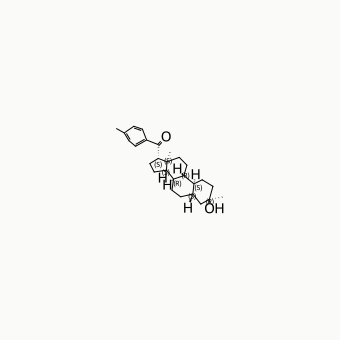 Cc1ccc(C(=O)[C@H]2CC[C@H]3[C@@H]4CC[C@H]5C[C@](C)(O)CC[C@@H]5[C@H]4CC[C@]23C)cc1